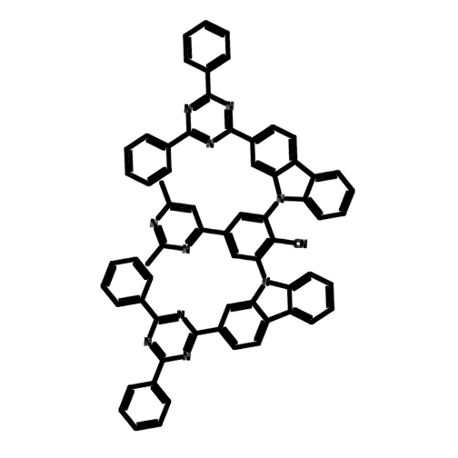 Cc1cc(-c2cc(-n3c4ccccc4c4ccc(-c5nc(-c6ccccc6)nc(-c6ccccc6)n5)cc43)c(C#N)c(-n3c4ccccc4c4ccc(-c5nc(-c6ccccc6)nc(-c6ccccc6)n5)cc43)c2)nc(C)n1